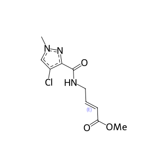 COC(=O)/C=C/CNC(=O)c1nn(C)cc1Cl